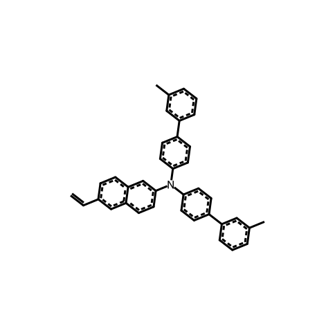 C=Cc1ccc2cc(N(c3ccc(-c4cccc(C)c4)cc3)c3ccc(-c4cccc(C)c4)cc3)ccc2c1